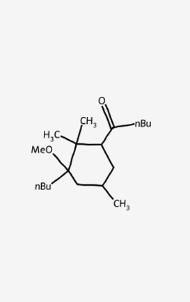 CCCCC(=O)C1CC(C)CC(CCCC)(OC)C1(C)C